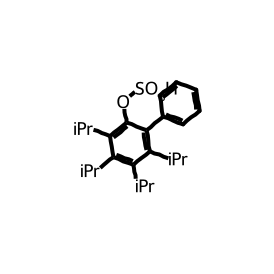 CC(C)c1c(OS(=O)(=O)O)c(-c2ccccc2)c(C(C)C)c(C(C)C)c1C(C)C